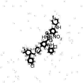 CN1CCC(Nc2ccc(S(=O)(=O)NC(=O)c3ccc(N4CCN(CC5=C(c6ccc(Cl)cc6)CC(C)(C)CC5)CC4)cc3Nc3ccccc3Cl)c([N+](=O)[O-])c2)CC1